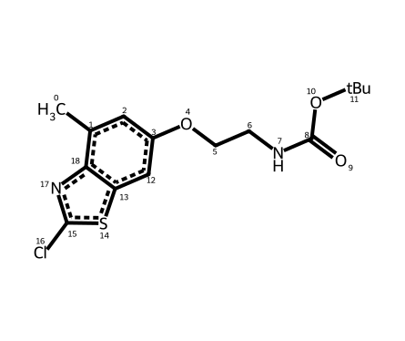 Cc1cc(OCCNC(=O)OC(C)(C)C)cc2sc(Cl)nc12